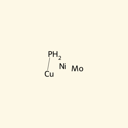 [Mo].[Ni].[PH2][Cu]